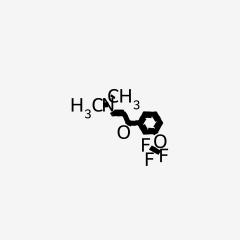 CN(C)/C=C/C(=O)c1cccc(OC(F)(F)F)c1